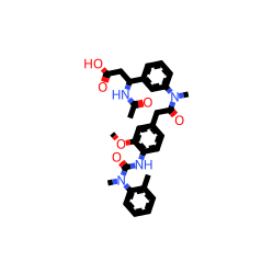 COc1cc(CC(=O)N(C)c2cccc(C(CC(=O)O)NC(C)=O)c2)ccc1NC(=O)N(C)c1ccccc1C